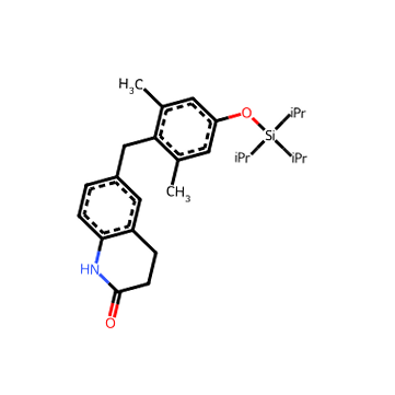 Cc1cc(O[Si](C(C)C)(C(C)C)C(C)C)cc(C)c1Cc1ccc2c(c1)CCC(=O)N2